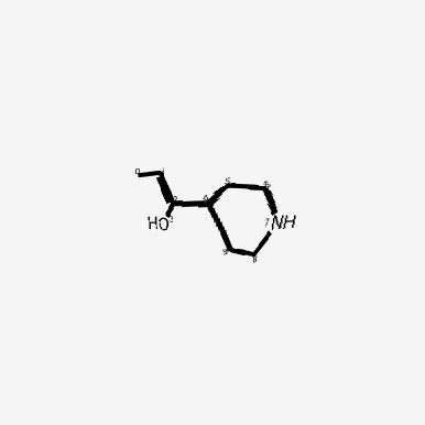 CC=C(O)C1CCNCC1